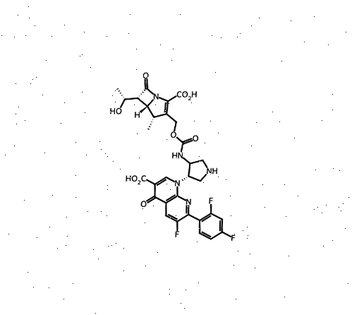 C[C@@H](O)[C@@H]1C(=O)N2C(C(=O)O)=C(COC(=O)NC3CNC[C@@H]3n3cc(C(=O)O)c(=O)c4cc(F)c(-c5ccc(F)cc5F)nc43)[C@H](C)[C@H]12